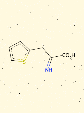 N=C(Cc1cccs1)C(=O)O